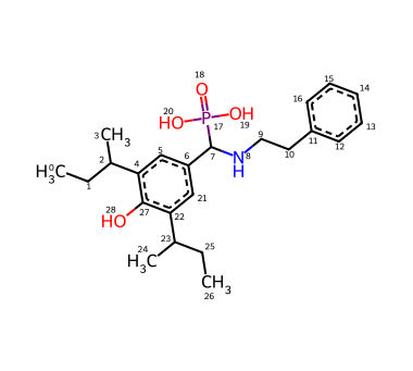 CCC(C)c1cc(C(NCCc2ccccc2)P(=O)(O)O)cc(C(C)CC)c1O